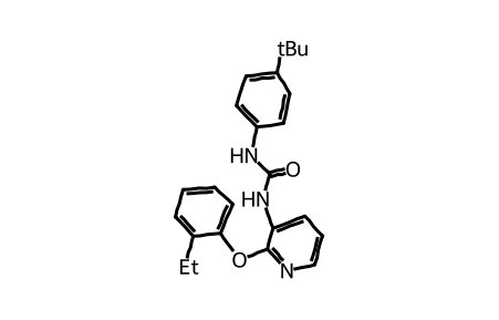 CCc1ccccc1Oc1ncccc1NC(=O)Nc1ccc(C(C)(C)C)cc1